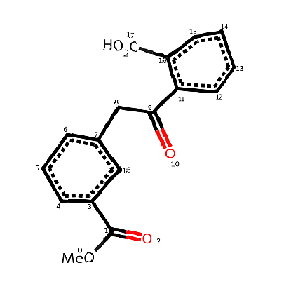 COC(=O)c1cccc(CC(=O)c2ccccc2C(=O)O)c1